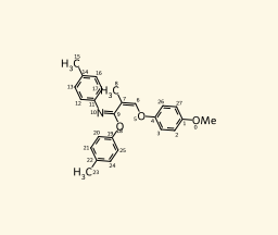 COc1ccc(OC=C(C)C(=Nc2ccc(C)cc2)Oc2ccc(C)cc2)cc1